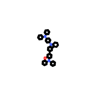 C1=Cc2c(c3cc(-c4ccc5c(c4)Oc4ccccc4N5c4ccccc4)ccc3n2-c2ccc(N(c3ccccc3)c3ccccc3)cc2)CC1